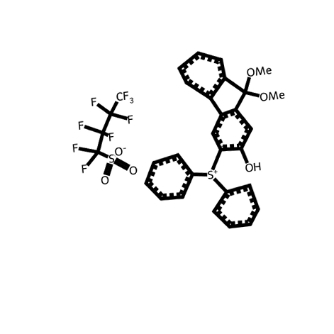 COC1(OC)c2ccccc2-c2cc([S+](c3ccccc3)c3ccccc3)c(O)cc21.O=S(=O)([O-])C(F)(F)C(F)(F)C(F)(F)C(F)(F)F